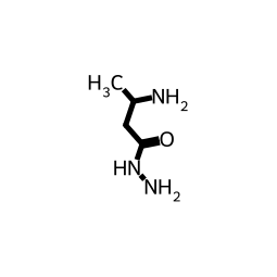 CC(N)CC(=O)NN